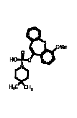 COc1cccc2c1Sc1ccccc1C=C2OP(=O)(O)N1CCC(C)(C)CC1